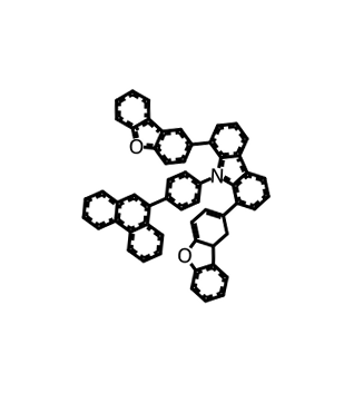 C1=C(c2cccc3c4cccc(-c5ccc6oc7ccccc7c6c5)c4n(-c4ccc(-c5cc6ccccc6c6ccccc56)cc4)c23)CC2C(=C1)Oc1ccccc12